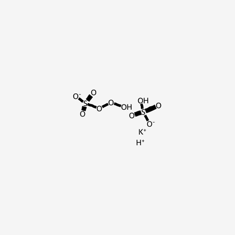 O=S(=O)([O-])O.O=S(=O)([O-])OOO.[H+].[K+]